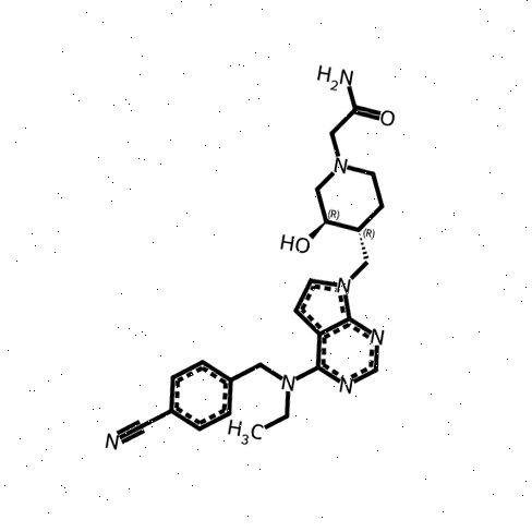 CCN(Cc1ccc(C#N)cc1)c1ncnc2c1ccn2C[C@H]1CCN(CC(N)=O)C[C@@H]1O